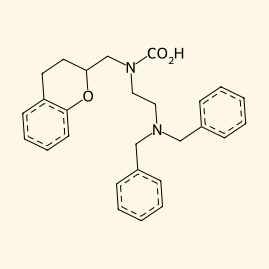 O=C(O)N(CCN(Cc1ccccc1)Cc1ccccc1)CC1CCc2ccccc2O1